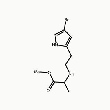 CC(NCCc1cc(Br)c[nH]1)C(=O)OC(C)(C)C